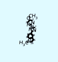 COc1cnc(-n2cnc(-c3ccc4c(ccn4C)c3)n2)nc1